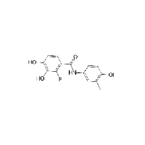 Cc1cc(NC(=O)c2ccc(O)c(O)c2F)ccc1O